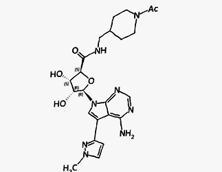 CC(=O)N1CCC(CNC(=O)[C@H]2O[C@@H](n3cc(-c4ccn(C)n4)c4c(N)ncnc43)[C@H](O)[C@@H]2O)CC1